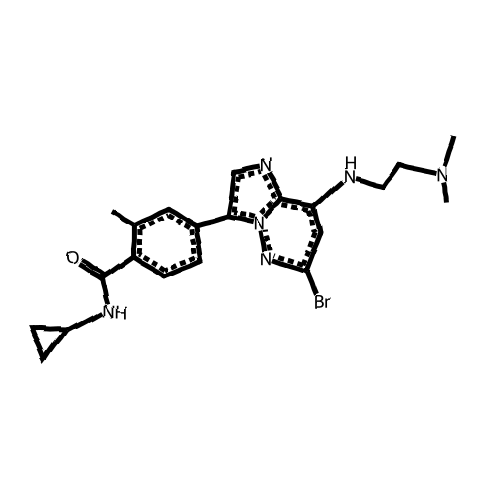 Cc1cc(-c2cnc3c(NCCN(C)C)cc(Br)nn23)ccc1C(=O)NC1CC1